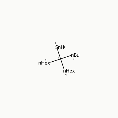 CCCCCC[C]([SnH])(CCCC)CCCCCC